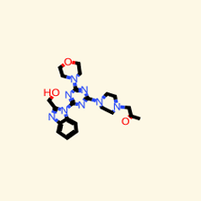 CC(=O)CN1CCN(c2nc(N3CCOCC3)nc(-n3c(CO)nc4ccccc43)n2)CC1